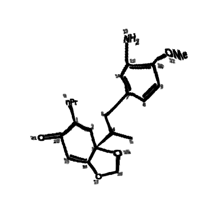 CCC[C@H]1C[C@]2(C(C)Cc3ccc(OC)c(N)c3)OCOC2=CC1=O